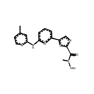 CON(C)C(=O)c1ncc(-c2cccc(Nc3cc(C)ccn3)n2)s1